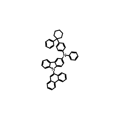 c1ccc(N(c2ccc(C3(c4ccccc4)CCCCC3)cc2)c2ccc3c(c2)c2ccccc2n3-c2cc3ccccc3c3ccccc23)cc1